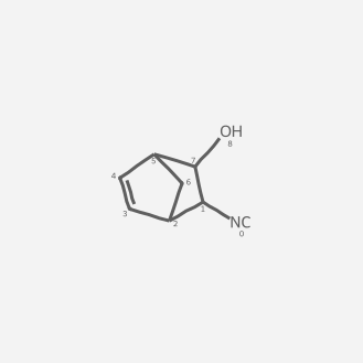 [C-]#[N+]C1C2C=CC(C2)C1O